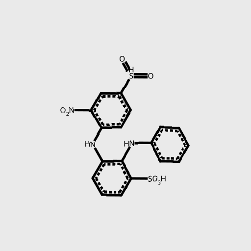 O=[N+]([O-])c1cc([SH](=O)=O)ccc1Nc1cccc(S(=O)(=O)O)c1Nc1ccccc1